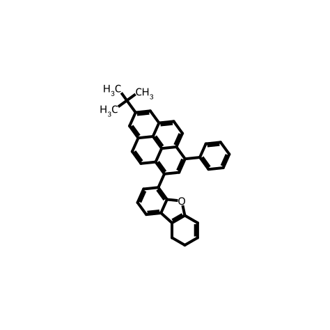 CC(C)(C)c1cc2ccc3c(-c4ccccc4)cc(-c4cccc5c6c(oc45)C=CCC6)c4ccc(c1)c2c34